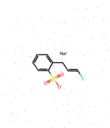 O=S(=O)([O-])c1ccccc1CC=CF.[Na+]